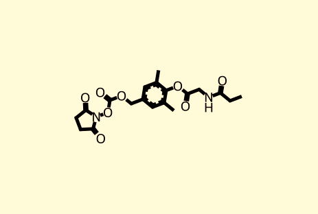 CCC(=O)NCC(=O)Oc1c(C)cc(COC(=O)ON2C(=O)CCC2=O)cc1C